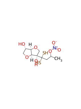 CC(CC(S)(S)[C@]1(O)CO[C@@H]2[C@@H](O)CO[C@@H]21)O[N+](=O)[O-]